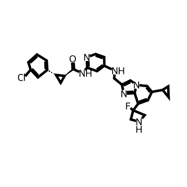 O=C(Nc1cc(NCc2cn3cc(C4CC4)cc(C4(F)CNC4)c3n2)ccn1)[C@H]1C[C@@H]1c1cccc(Cl)c1